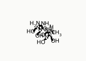 CNc1c(N)c(=O)n(CCO)n1CCO.Nc1c(N)n(CCO)n(CCO)c1=O